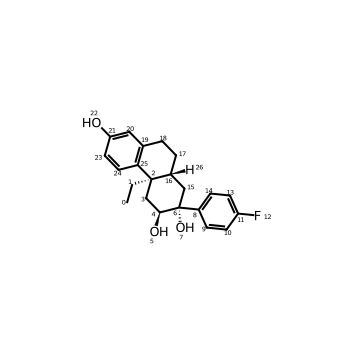 CC[C@@]12C[C@H](O)[C@](O)(c3ccc(F)cc3)C[C@H]1CCc1cc(O)ccc12